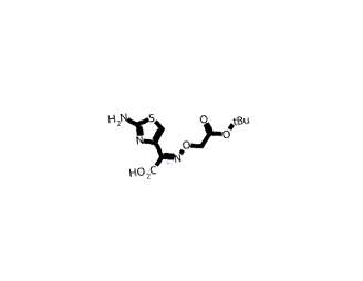 CC(C)(C)OC(=O)CO/N=C(/C(=O)O)c1csc(N)n1